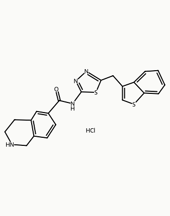 Cl.O=C(Nc1nnc(Cc2csc3ccccc23)s1)c1ccc2c(c1)CCNC2